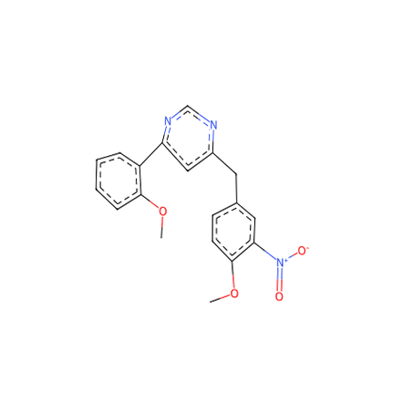 COc1ccccc1-c1cc(Cc2ccc(OC)c([N+](=O)[O-])c2)ncn1